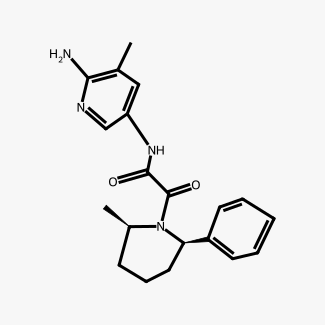 Cc1cc(NC(=O)C(=O)N2[C@H](C)CCC[C@@H]2c2ccccc2)cnc1N